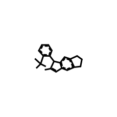 CC1=Cc2cc3c(cc2C1c1ccccc1C(C)(C)C)CCC3